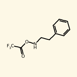 O=C(ONCCc1ccccc1)C(F)(F)F